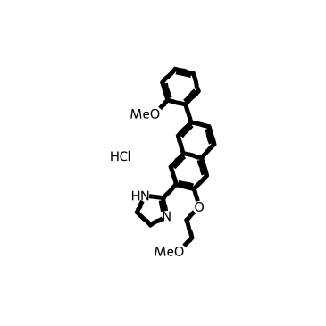 COCCOc1cc2ccc(-c3ccccc3OC)cc2cc1C1=NCCN1.Cl